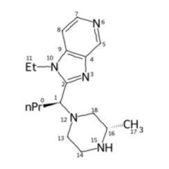 CCC[C@@H](c1nc2cnccc2n1CC)N1CCN[C@@H](C)C1